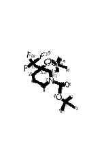 CC(C)(C)OC(=O)N1CCCC(O[Si](C)(C)C)(C(F)(F)F)C1